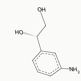 Nc1cccc([C@H](O)CO)c1